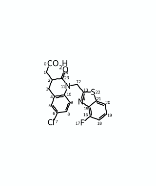 O=C(O)CC1Cc2cc(Cl)ccc2N(Cc2nc3c(F)cccc3s2)C1=O